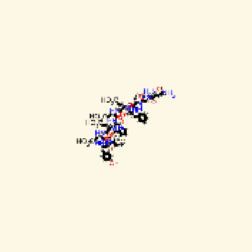 CC[C@H](C)[C@H](NC(=O)[C@H](CCC(=O)O)NC(=O)[C@H](CCC(=O)O)NC(=O)[C@H](Cc1ccccc1)NC(=O)[C@H](CC(=O)O)NC(=O)CNC(=O)[C@@H](N)CC(N)=O)C(=O)N1CCC[C@H]1C(=O)N[C@@H](CCC(=O)O)C(=O)N[C@@H](CCC(=O)O)C(=O)N[C@@H](Cc1ccc(O)cc1)C(=O)N[C@@H](CC(C)C)C(=O)O